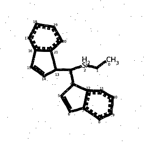 CC[SiH2]C(C1C=Cc2ccccc21)C1C=Cc2ccccc21